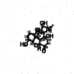 C[N@+]1(C(O)C2CC2)CC[C@]23c4c5ccc(O)c4O[C@H]2C(=O)CC[C@@]3(O)[C@H]1C5O